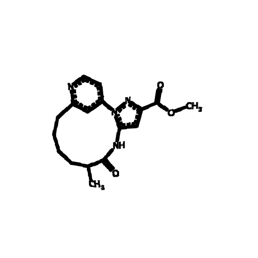 COC(=O)c1cc2n(n1)-c1ccnc(c1)CCCCC(C)C(=O)N2